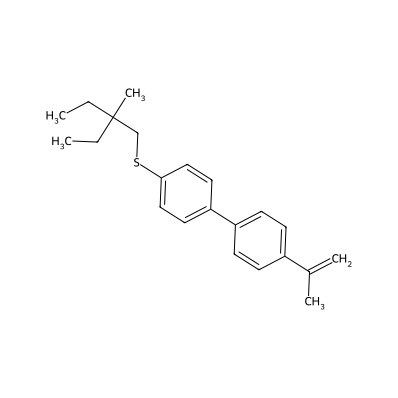 C=C(C)c1ccc(-c2ccc(SCC(C)(CC)CC)cc2)cc1